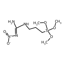 C[O][Ti]([CH2]CCNC(N)=N[N+](=O)[O-])([O]C)[O]C